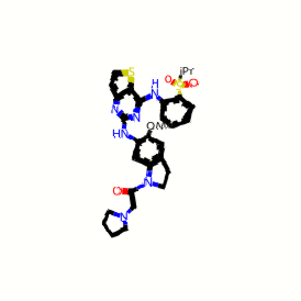 COc1cc2c(cc1Nc1nc(Nc3ccccc3S(=O)(=O)C(C)C)c3sccc3n1)N(C(=O)CN1CCCC1)CC2